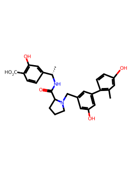 Cc1cc(O)ccc1-c1cc(O)cc(CN2CCCC2C(=O)N[C@@H](C)c2ccc(C(=O)O)c(O)c2)c1